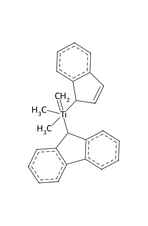 [CH2]=[Ti]([CH3])([CH3])([CH]1C=Cc2ccccc21)[CH]1c2ccccc2-c2ccccc21